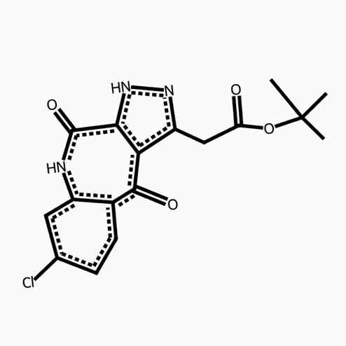 CC(C)(C)OC(=O)Cc1n[nH]c2c(=O)[nH]c3cc(Cl)ccc3c(=O)c12